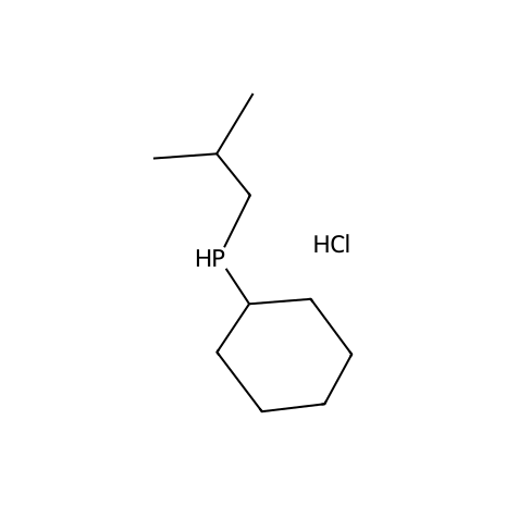 CC(C)CPC1CCCCC1.Cl